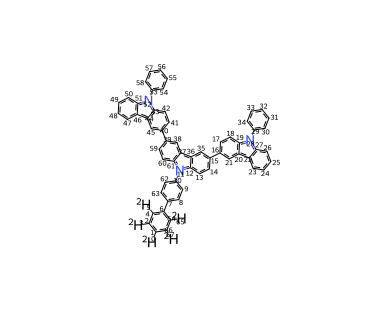 [2H]c1c([2H])c([2H])c(-c2ccc(-n3c4ccc(-c5ccc6c(c5)c5ccccc5n6-c5ccccc5)cc4c4cc(-c5ccc6c(c5)c5ccccc5n6-c5ccccc5)ccc43)cc2)c([2H])c1[2H]